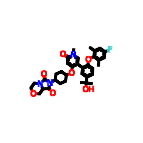 Cc1cc(F)cc(C)c1Oc1ccc(C(C)(C)O)cc1-c1cn(C)c(=O)cc1OC1CCC(N2C(=O)C3COCCN3C2=O)CC1